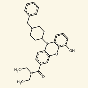 CCN(CC)C(=O)c1ccc2c(c1)Oc1c(O)cccc1N2C1CCN(Cc2ccccc2)CC1